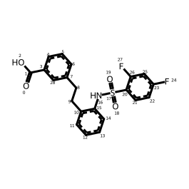 O=C(O)c1cccc(CCc2ccccc2NS(=O)(=O)c2ccc(F)cc2F)c1